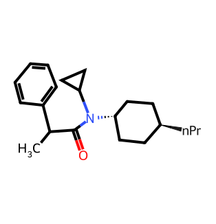 CCC[C@H]1CC[C@H](N(C(=O)C(C)c2ccccc2)C2CC2)CC1